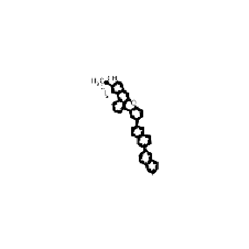 CC(C)(C)c1ccc2cc3c4c(cccc4c2c1)-c1cc(-c2ccc4cc(-c5ccc6ccccc6c5)ccc4c2)ccc1O3